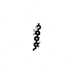 CCCc1ccc(-c2ccc(-c3ccc(C4CCC(C)CO4)c(F)c3F)cc2)c(F)c1F